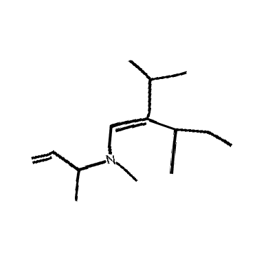 C=CC(C)N(C)/C=C(/C(C)C)C(C)CC